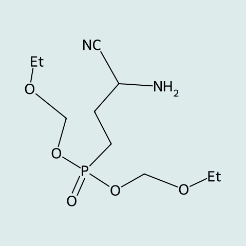 CCOCOP(=O)(CCC(N)C#N)OCOCC